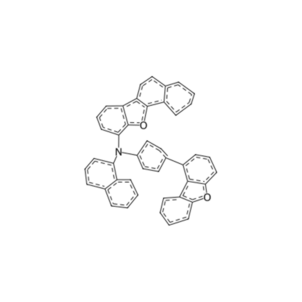 c1ccc2c(N(c3ccc(-c4cccc5oc6ccccc6c45)cc3)c3cccc4c3oc3c5ccccc5ccc43)cccc2c1